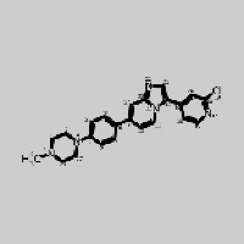 CN1CCN(c2ccc(-c3ccn4c(-c5ccnc(Cl)c5)cnc4c3)cc2)CC1